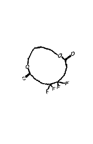 O=C1CCC(F)(F)C(F)(F)CCC(=O)OCCCCO1